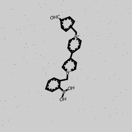 O=Cc1ccc(C[n+]2ccc(-c3cc[n+](Cc4ccccc4B(O)O)cc3)cc2)cc1